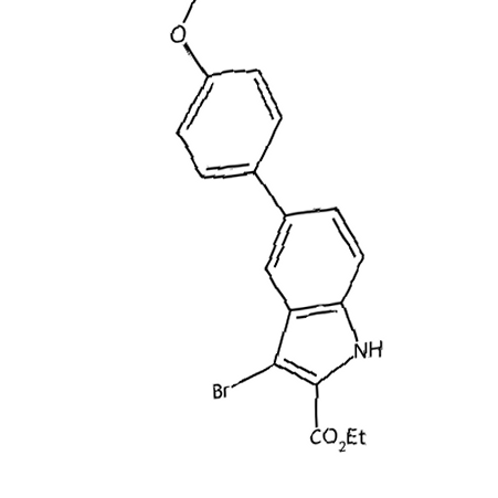 CCOC(=O)c1[nH]c2ccc(-c3ccc(OC(C)C)cc3)cc2c1Br